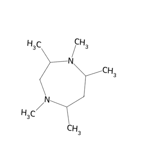 CC1CC(C)N(C)C(C)CN1C